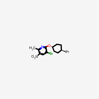 Cc1nc(O[C@H]2CC[C@H](C(C)C)CC2)c(Br)cc1[N+](=O)[O-]